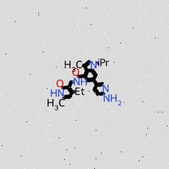 CCc1cc(C)[nH]c(=O)c1CNC(=O)c1cc(-c2ccc(N)nc2)cc2c1c(C)cn2C(C)C